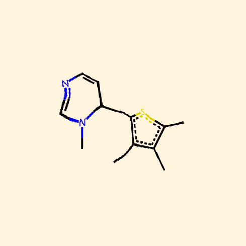 Cc1sc(C2C=CN=CN2C)c(C)c1C